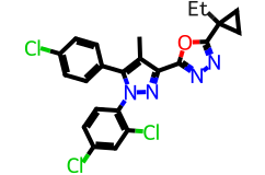 CCC1(c2nnc(-c3nn(-c4ccc(Cl)cc4Cl)c(-c4ccc(Cl)cc4)c3C)o2)CC1